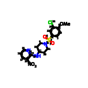 COc1ccc(S(=O)(=O)N2CCC(Nc3ncccc3[N+](=O)[O-])CC2)cc1Cl